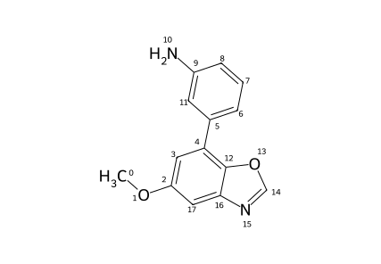 COc1cc(-c2cccc(N)c2)c2ocnc2c1